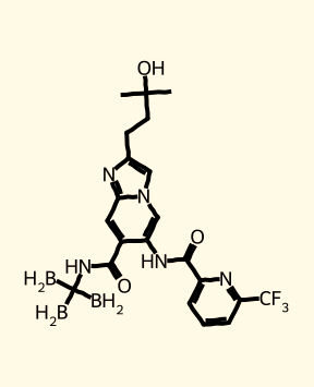 BC(B)(B)NC(=O)c1cc2nc(CCC(C)(C)O)cn2cc1NC(=O)c1cccc(C(F)(F)F)n1